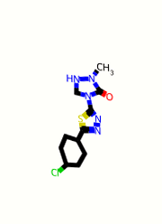 CN1NCN(c2nnc(C3CCC(Cl)CC3)s2)C1=O